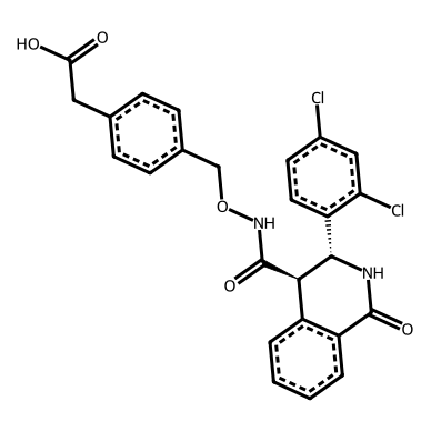 O=C(O)Cc1ccc(CONC(=O)[C@@H]2c3ccccc3C(=O)N[C@H]2c2ccc(Cl)cc2Cl)cc1